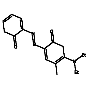 CCN(CC)C1=C(C)C=C(N=NC2=CC=CCC2=O)C(=O)C1